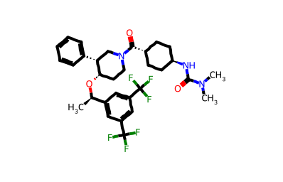 C[C@@H](O[C@H]1CCN(C(=O)[C@H]2CC[C@H](NC(=O)N(C)C)CC2)C[C@H]1c1ccccc1)c1cc(C(F)(F)F)cc(C(F)(F)F)c1